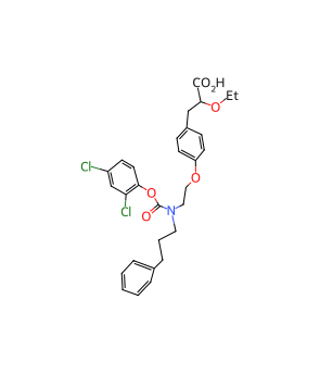 CCOC(Cc1ccc(OCCN(CCCc2ccccc2)C(=O)Oc2ccc(Cl)cc2Cl)cc1)C(=O)O